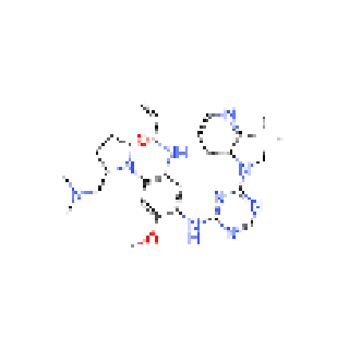 C=CC(=O)Nc1cc(Nc2ncnc(N3CC(C)(C)c4ncccc43)n2)c(OC)cc1N1CCC[C@@H]1CN(C)C